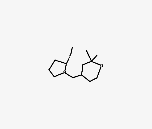 CCC1CCCN1CC1CCOC(C)(C)C1